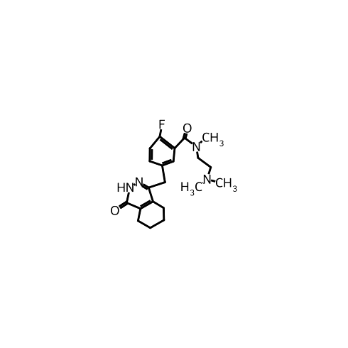 CN(C)CCN(C)C(=O)c1cc(Cc2n[nH]c(=O)c3c2CCCC3)ccc1F